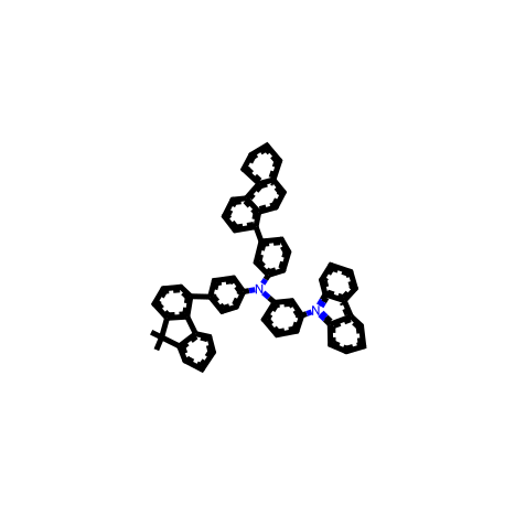 CC1(C)c2ccccc2-c2c(-c3ccc(N(c4cccc(-c5cccc6c5ccc5ccccc56)c4)c4cccc(-n5c6ccccc6c6ccccc65)c4)cc3)cccc21